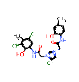 Cc1ccc(NC(=O)C[n+]2ccn(CC(=O)Nc3cc(Cl)c(C)c(Cl)c3O)c2)c(O)c1.[Cl-]